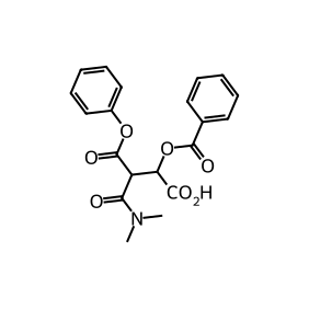 CN(C)C(=O)C(C(=O)Oc1ccccc1)C(OC(=O)c1ccccc1)C(=O)O